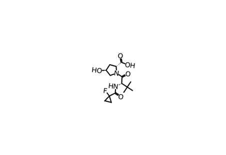 CC(C)(C)[C@H](NC(=O)C1(F)CC1)C(=O)N1C[C@@H](O)C[C@@H]1C(=O)O